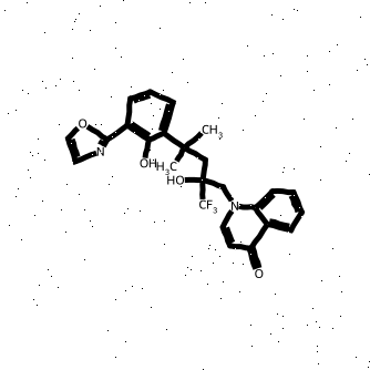 CC(C)(CC(O)(Cn1ccc(=O)c2ccccc21)C(F)(F)F)c1cccc(-c2ncco2)c1O